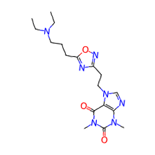 CCN(CC)CCCc1nc(CCn2cnc3c2c(=O)n(C)c(=O)n3C)no1